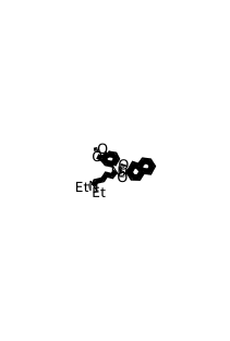 CCN(CC)CCCCN(c1ccc2c(c1)OCO2)S(=O)(=O)c1ccc2ccccc2c1